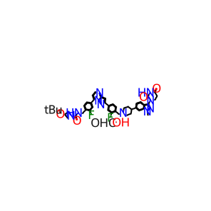 Cn1nc(N2CCC(=O)NC2=O)c2ccc(C3CCN(Cc4ccc(-c5cc6nccc(-c7ccc(CNC(=O)N8CC(OC(C)(C)C)C8)c(F)c7)n6n5)cc4F)CC3)cc21.O=CO